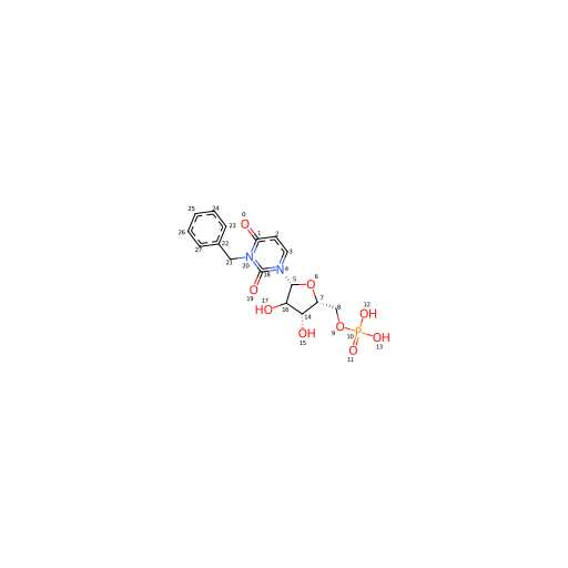 O=c1ccn([C@@H]2O[C@H](COP(=O)(O)O)[C@H](O)C2O)c(=O)n1Cc1ccccc1